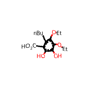 CCCCc1c(OCC)c(OCC)c(O)c(O)c1C(=O)O